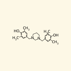 Cc1cc(CN2CCCN(Cc3cc(C)c(O)c(C)c3)C2)cc(C)c1O